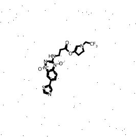 O=C(CCNc1n[n+]([O-])c2cc(-c3cncs3)ccc2[n+]1[O-])OC1=CN(CC(F)(F)F)CC1